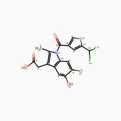 Cc1c(CC(=O)O)c2cc(O)c(Cl)cc2n1C(=O)c1csc(C(F)F)c1